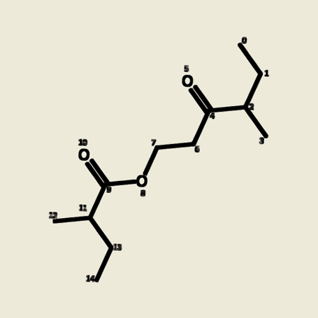 CCC(C)C(=O)CCOC(=O)C(C)CC